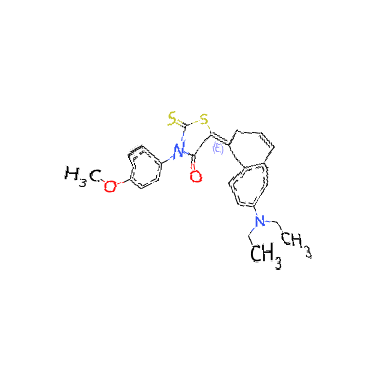 CCN(CC)c1ccc2c(c1)C=CC/C2=C1\SC(=S)N(c2ccc(OC)cc2)C1=O